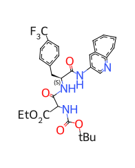 CCOC(=O)C(NC(=O)OC(C)(C)C)C(=O)N[C@@H](Cc1ccc(C(F)(F)F)cc1)C(=O)Nc1cnc2ccccc2c1